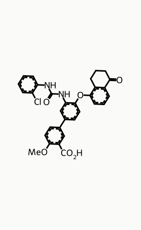 COc1ccc(-c2ccc(Oc3cccc4c3CCCC4=O)c(NC(=O)Nc3ccccc3Cl)c2)cc1C(=O)O